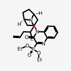 C=CCC(CC)CN1[C@@H]2CC[C@H]1C[C@@H](n1c(=O)c(P(=O)(OCC)OCC)nc3ccccc31)C2